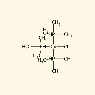 C[PH](C)(C)[Co]([Cl])([PH](C)(C)C)[PH](C)(C)C